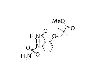 COC(=O)C(C)(C)COc1cccc(NS(N)(=O)=O)c1C(N)=O